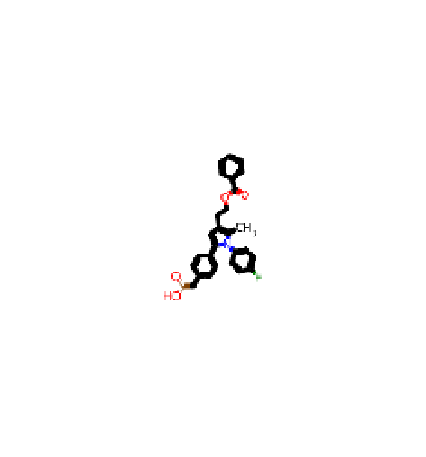 Cc1c(CCOC(=O)c2ccccc2)cc(-c2ccc(CS(=O)O)cc2)n1-c1ccc(F)cc1